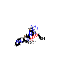 C#CCO/N=C(\C(=O)N[C@@H]1C(=O)N2C(C(=O)[O-])=C(Cn3cc[n+]4ccccc34)CS[C@H]12)c1csc(N)n1